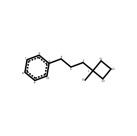 [CH2]C1(CCCc2ccccc2)CCC1